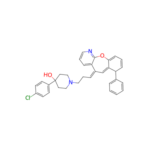 OC1(c2ccc(Cl)cc2)CCN(CCC=C2C=C3C(=CC=CC3c3ccccc3)Oc3ncccc32)CC1